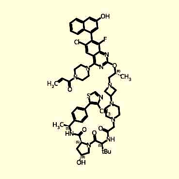 C=CC(=O)N1CCN(c2nc(O[C@H](C)CN3CC(N4CCN(CC(=O)N[C@H](C(=O)N5C[C@H](O)C[C@H]5C(=O)N[C@@H](C)c5ccc(-c6scnc6C)cc5)C(C)(C)C)CC4)C3)nc3c(F)c(-c4cc(O)cc5ccccc45)c(Cl)cc23)CC1